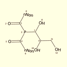 CCCCCCCCCC(=O)P(C(=O)CCCCCCCCC)C(O)C(O)CO